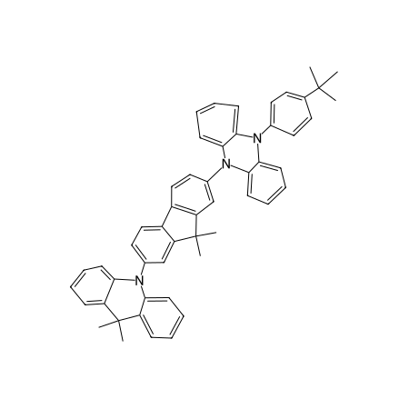 CC(C)(C)c1ccc(N2c3ccccc3N(c3ccc4c(c3)C(C)(C)c3cc(N5c6ccccc6C(C)(C)c6ccccc65)ccc3-4)c3ccccc32)cc1